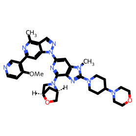 COc1ccncc1-c1cc2c(cnn2-c2cc3c(nc(N4CCC(N5CCOCC5)CC4)n3C)c(N3C[C@H]4C[C@@H]3CO4)n2)c(C)n1